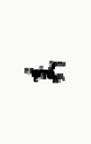 CNC(=O)COc1cc(C(=N)N)ccc1CNC(=O)c1cc(C(F)(F)F)cc(Cl)c1F